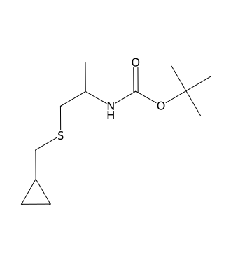 CC(CSCC1CC1)NC(=O)OC(C)(C)C